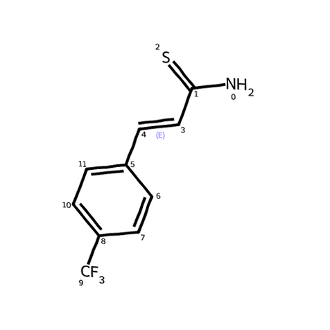 NC(=S)/C=C/c1ccc(C(F)(F)F)cc1